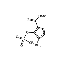 Bc1csc(C(=O)OC)c1OS(=O)(=O)C(F)(F)F